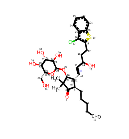 CC1(C)C(=O)[C@H](CCCCC=O)[C@@H](/C=C/C(O)CCc2sc3ccccc3c2Cl)[C@@H]1OC1O[C@H](CO)[C@@H](O)[C@H](O)[C@H]1O